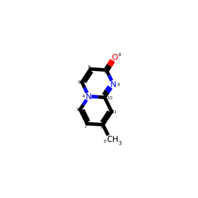 Cc1ccn2ccc(=O)nc2c1